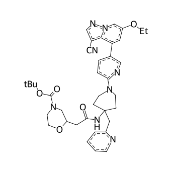 CCOc1cc(-c2ccc(N3CCC(Cc4ccccn4)(NC(=O)CC4CN(C(=O)OC(C)(C)C)CCO4)CC3)nc2)c2c(C#N)cnn2c1